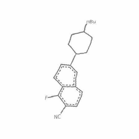 CCCCC1CCC(c2ccc3c(F)c(C#N)ccc3c2)CC1